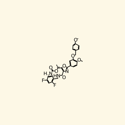 COc1ccc(COc2cc(-c3nc(C(=O)NCc4ccc(F)cc4F)c([C@H](C)OC(N)=O)o3)ccc2OC)cc1